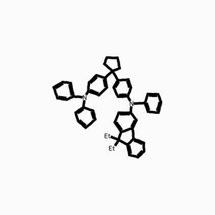 CCC1(CC)c2ccccc2-c2cc(N(c3ccccc3)c3ccc(C4(c5ccc(N(c6ccccc6)c6ccccc6)cc5)CCCC4)cc3)ccc21